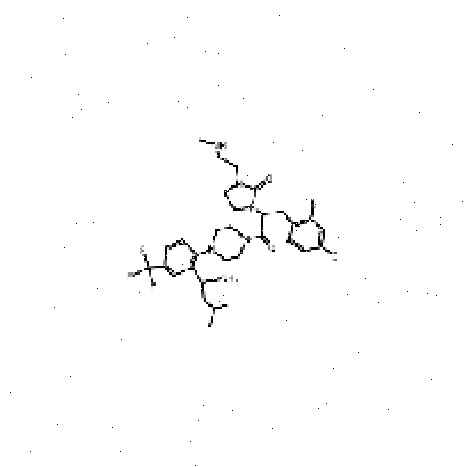 CNCCN1CCN(C(Cc2ccc(Cl)cc2Cl)C(=O)N2CCN(c3ccc(C(F)(F)F)cc3C(N)CC(C)C)CC2)C1=O